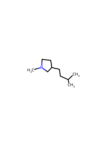 CC(C)CCC1CCN(C)C1